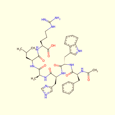 CC(=O)N[C@@H](Cc1ccccc1)C(=O)N[C@@H](Cc1c[nH]c2ccccc12)C(=O)N[C@@H](Cc1c[nH]cn1)C(=O)N[C@@H](C)C(=O)N[C@@H](CC(C)C)C(=O)N[C@@H](CCCNC(=N)N)C(=O)O